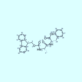 C[C@H](NC(=O)OCC1c2ccccc2-c2ccccc21)C(=O)N[C@@H](Cc1ccccc1)C(=O)O